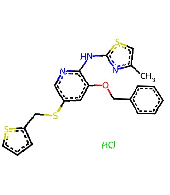 Cc1csc(Nc2ncc(SCc3cccs3)cc2OCc2ccccc2)n1.Cl